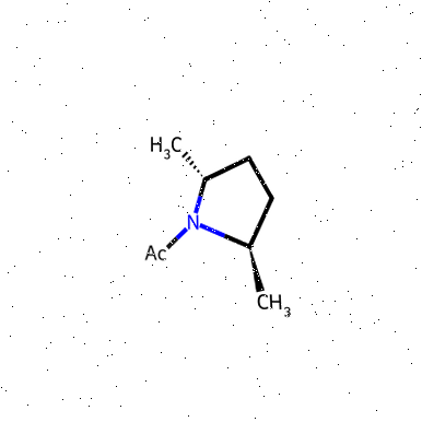 CC(=O)N1[C@H](C)CC[C@H]1C